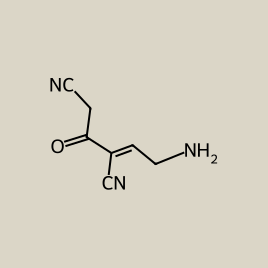 N#CCC(=O)C(C#N)=CCN